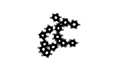 c1ccc(-c2cccc(-c3nc(-c4cccc(-n5c6ccc(-c7ccccc7)cc6c6cc(-c7ccc8c(c7)c7cc(-c9ccccc9)ccc7n8-c7ccccc7)ccc65)c4)c4c(ccc5ccccc54)n3)c2)cc1